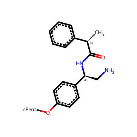 CCCCCOc1ccc([C@H](CN)NC(=O)[C@@H](C)c2ccccc2)cc1